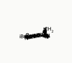 C=Nc1ccc(C2(Cn3nccn3)OCC(COc3ccc(N4CCN(c5ccc(-n6cnn(C(C)CC)c6=O)cc5)CC4)cc3)O2)cc1